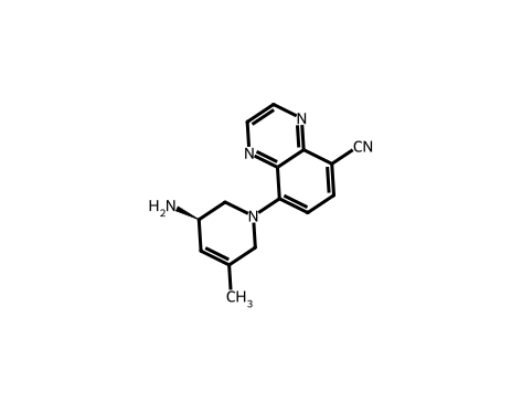 CC1=C[C@@H](N)CN(c2ccc(C#N)c3nccnc23)C1